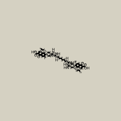 CC1COc2c(N3CCN(C(=N)NC(=N)NCCCCCCNC(=N)NC(=N)N4CCN(c5c(F)cc6c(=O)c(C(=O)O)cn7c6c5OCC7C)CC4)CC3)c(F)cc3c(=O)c(C(=O)O)cn1c23